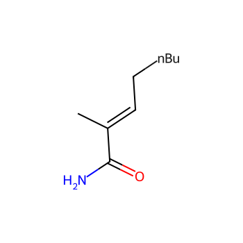 CCCCC/C=C(\C)C(N)=O